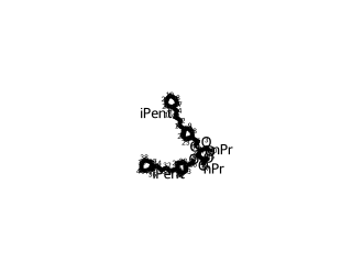 CCCOC(=O)[C@H](OCc1ccc(CCCCC2(C(C)CCC)CCCCC2)cc1)[C@@H](OCc1ccc(CCCCC2(C(C)CCC)CCCCC2)cc1)C(=O)OCCC